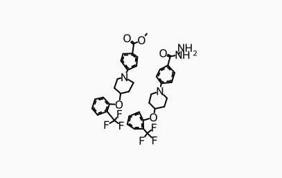 COC(=O)c1ccc(N2CCC(Oc3ccccc3C(F)(F)F)CC2)cc1.NNC(=O)c1ccc(N2CCC(Oc3ccccc3C(F)(F)F)CC2)cc1